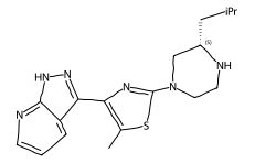 Cc1sc(N2CCN[C@@H](CC(C)C)C2)nc1-c1n[nH]c2ncccc12